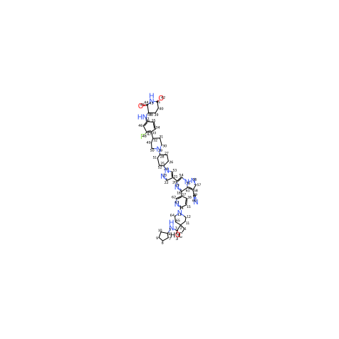 CCC1(C(=O)NC2CCCC2)CCN(c2ccc(-c3nc(-c4cnn(C5CCC(N6CCC(c7ccc(N[C@H]8CCC(=O)NC8=O)cc7F)CC6)CC5)c4)cn4ncc(C#N)c34)cn2)CC1